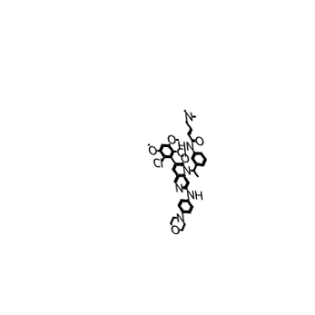 COc1cc(OC)c(Cl)c(-c2cc3cnc(Nc4ccc(N5CCOCC5)cc4)cc3n(C(C)c3cccc(NC(=O)/C=C/CN(C)C)c3)c2=O)c1Cl